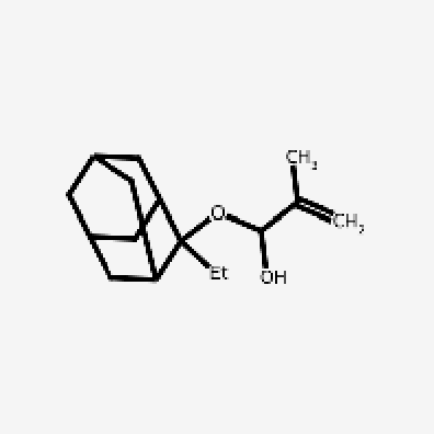 C=C(C)C(O)OC1(CC)C2CC3CC(C2)CC1C3